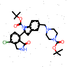 CC(C)(C)OC(=O)N1CCN(Cc2ccc3c(c2)cc(-c2ccc(Cl)c4c2C(=O)NC4)n3C(=O)OC(C)(C)C)CC1